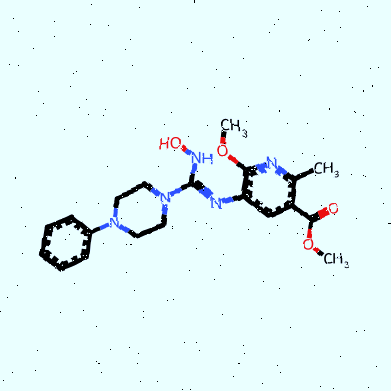 COC(=O)c1cc(N=C(NO)N2CCN(c3ccccc3)CC2)c(OC)nc1C